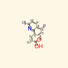 CC(=Cc1ccc(I)c2ccc(I)nc12)C(=O)O